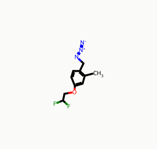 Cc1cc(OCC(F)F)ccc1CN=[N+]=[N-]